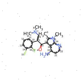 Cc1c(C(=O)C(=CN(C)C)c2cccc(F)c2F)c2c(N)ccnc2n1C